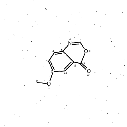 COc1ccc2ncoc(=O)c2c1